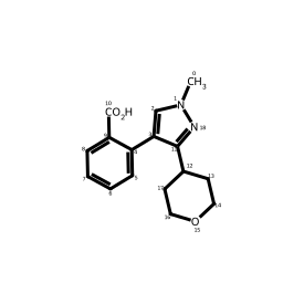 Cn1cc(-c2ccccc2C(=O)O)c(C2CCOCC2)n1